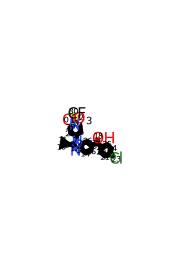 O=S(=O)(N1CCC(n2c(C3CC3)nc3ccc(C(O)c4ccc(Cl)cc4)cc32)CC1)C(F)(F)F